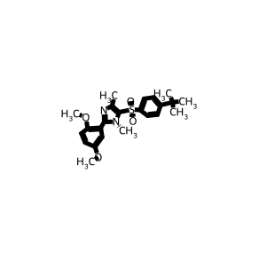 COc1ccc(OC)c(-c2nc(C)c(S(=O)(=O)c3ccc(C(C)(C)C)cc3)n2C)c1